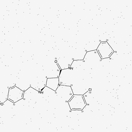 COc1ccc(CN[C@H]2C[C@@H](C(=O)NCCCc3ccccc3)N(Cc3ccccc3Cl)C2)cc1